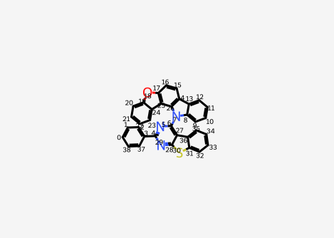 c1ccc(-c2nc(-n3c4ccccc4c4ccc5oc6ccccc6c5c43)c3c(n2)sc2ccccc23)cc1